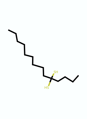 CCCCCCCCCC(S)(S)CCCC